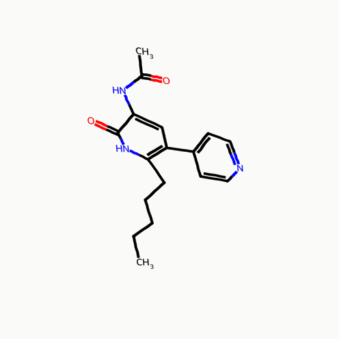 CCCCCc1[nH]c(=O)c(NC(C)=O)cc1-c1ccncc1